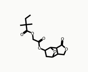 CCC(C)(C)C(=O)OCC(=O)OC1CC2OC1C1C(=O)OCC21